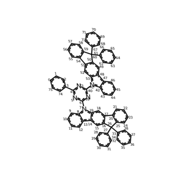 c1ccc(-c2nc(-n3c4ccccc4c4cc5c(cc43)-c3ccccc3C5(c3ccccc3)c3ccccc3)nc(-n3c4ccccc4c4cc5c(cc43)-c3ccccc3C5(c3ccccc3)c3ccccc3)n2)cc1